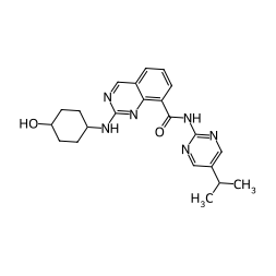 CC(C)c1cnc(NC(=O)c2cccc3cnc(NC4CCC(O)CC4)nc23)nc1